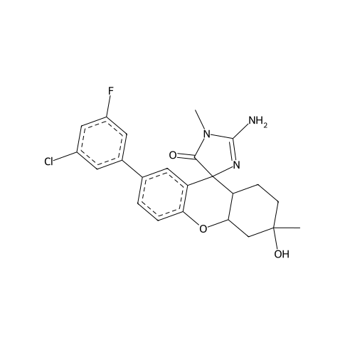 CN1C(=O)C2(N=C1N)c1cc(-c3cc(F)cc(Cl)c3)ccc1OC1CC(C)(O)CCC12